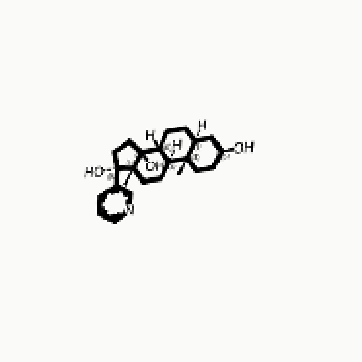 C[C@]12CC[C@H](O)C[C@@H]1CC[C@@H]1[C@@H]2CC[C@]2(C)[C@@](O)(c3cccnc3)CC[C@]12O